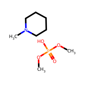 CN1CCCCC1.COP(=O)(O)OC